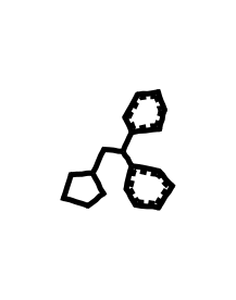 c1ccc(C(CC2CCCC2)c2ccccc2)cc1